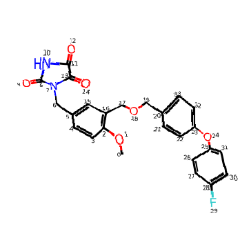 COc1ccc(CN2C(=O)NC(=O)C2=O)cc1COCc1ccc(Oc2ccc(F)cc2)cc1